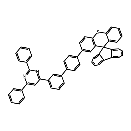 c1ccc(-c2cc(-c3cccc(-c4ccc(-c5ccc6c(c5)C5(c7ccccc7S6)c6ccccc6-c6ccccc65)cc4)c3)nc(-c3ccccc3)n2)cc1